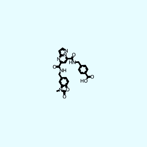 Cn1c(=O)oc2ccc(CNC(=O)c3cc(C(=O)NCc4ccc(C(=O)O)cc4)n4nccc4n3)cc21